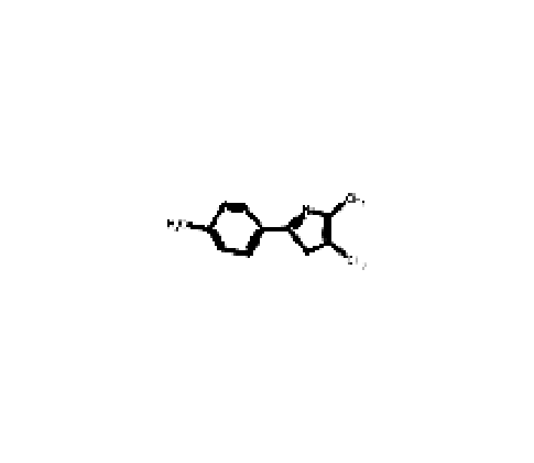 CC1=C(C)N=C(c2ccc(C)cc2)C1